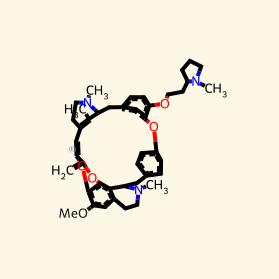 C=C1Oc2c3c(OC)cc4c2C(Cc2ccc(cc2)Oc2cc(ccc2OCCC2CCCN2C)CC2C(C)=C(/C=C\1O3)CCN2C)N(C)CC4